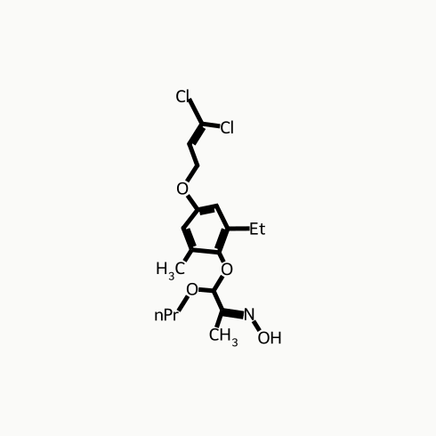 CCCOC(Oc1c(C)cc(OCC=C(Cl)Cl)cc1CC)C(C)=NO